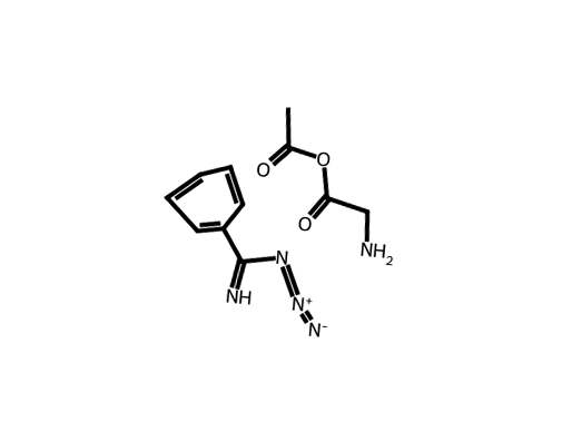 CC(=O)OC(=O)CN.[N-]=[N+]=NC(=N)c1ccccc1